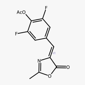 CC(=O)Oc1c(F)cc(/C=C2\N=C(C)OC2=O)cc1F